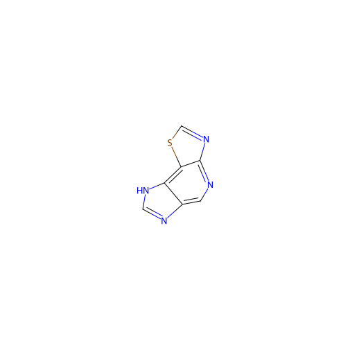 c1nc2cnc3ncsc3c2[nH]1